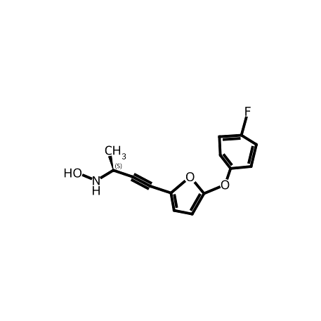 C[C@@H](C#Cc1ccc(Oc2ccc(F)cc2)o1)NO